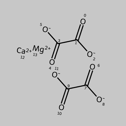 O=C([O-])C(=O)[O-].O=C([O-])C(=O)[O-].[Ca+2].[Mg+2]